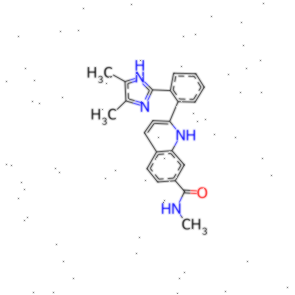 CNC(=O)c1ccc2c(c1)NC(c1ccccc1-c1nc(C)c(C)[nH]1)=C=C2